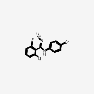 NN=C(Nc1ccc(Br)cc1)c1c(F)cccc1Cl